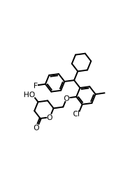 Cc1cc(Cl)c(OCC2CC(O)CC(=O)O2)c(C(c2ccc(F)cc2)C2CCCCC2)c1